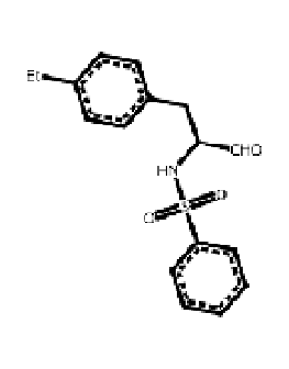 CCc1ccc(C[C@@H](C=O)NS(=O)(=O)c2ccccc2)cc1